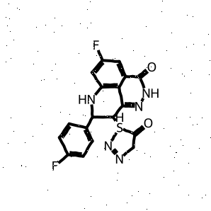 O=C1CN=N[SH]1C1c2n[nH]c(=O)c3cc(F)cc(c23)NC1c1ccc(F)cc1